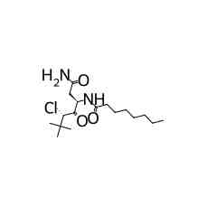 CCCCCCCC(=O)N[C@H](CC(N)=O)C(=O)[C@@H](Cl)C(C)(C)C